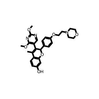 COc1ncc(C2=C(C)c3ccc(O)cc3OC2c2ccc(OCCN3CCOCC3)cc2)c(OC)n1